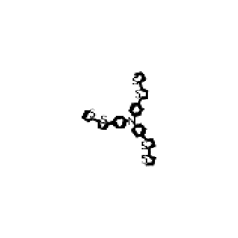 c1csc(-c2ccc(-c3ccc(N(c4ccc(-c5ccc(-c6cccs6)s5)cc4)c4ccc(-c5ccc(-c6cccs6)s5)cc4)cc3)s2)c1